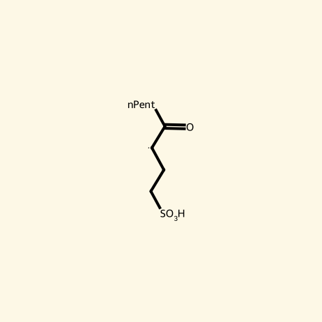 CCCCCC(=O)[CH]CCS(=O)(=O)O